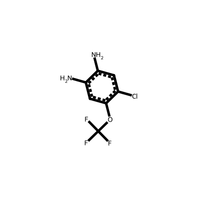 Nc1cc(Cl)c(OC(F)(F)F)cc1N